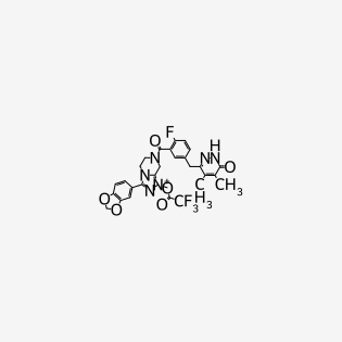 Cc1c(Cc2ccc(F)c(C(=O)N3CCn4c(-c5ccc6c(c5)OCO6)n[n+](OC(=O)C(F)(F)F)c4C3)c2)n[nH]c(=O)c1C